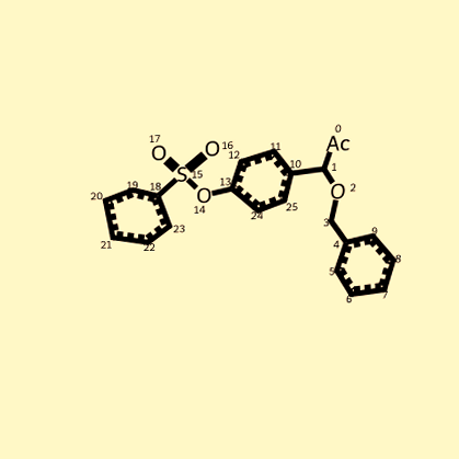 CC(=O)C(OCc1ccccc1)c1ccc(OS(=O)(=O)c2ccccc2)cc1